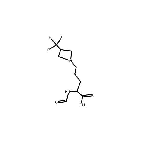 O=CNC(CCCN1CC(C(F)(F)F)C1)C(=O)O